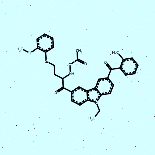 CCn1c2ccc(C(=O)c3ccccc3C)cc2c2cc(C(=O)C(CCSc3ccccc3OC)NOC(C)=O)ccc21